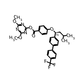 COc1nc(OC)nc(OC(=O)c2ccc(O[C@@H](CC(C)C)c3ccc(-c4ccc(C(F)(F)F)cc4)cc3)cc2)n1